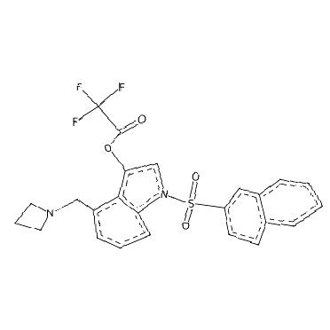 O=C(Oc1cn(S(=O)(=O)c2ccc3ccccc3c2)c2cccc(CN3CCC3)c12)C(F)(F)F